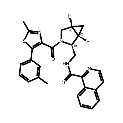 Cc1cccc(-c2sc(C)nc2C(=O)N2C[C@@H]3C[C@@H]3[C@H]2CNC(=O)c2nccc3ccccc23)c1